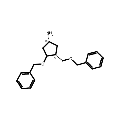 N[C@H]1CC(OCc2ccccc2)[C@@H](COCc2ccccc2)C1